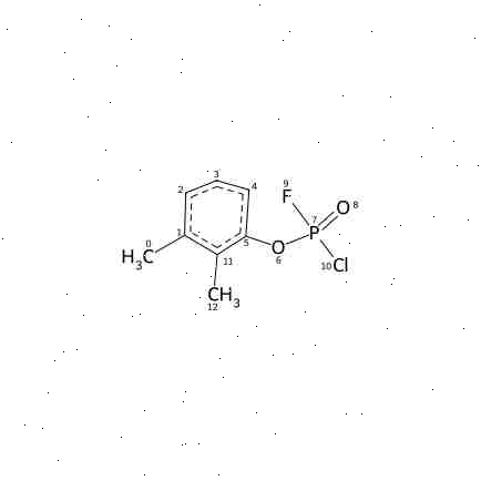 Cc1cccc(OP(=O)(F)Cl)c1C